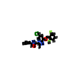 CCCC[C@H]1COC(c2c(C)nc3c(OCc4c(F)cccc4F)cc(Cl)cn23)=N1